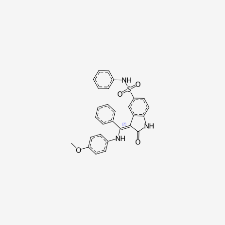 COc1ccc(N/C(=C2\C(=O)Nc3ccc(S(=O)(=O)Nc4ccccc4)cc32)c2ccccc2)cc1